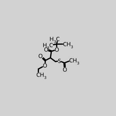 CCOC(=O)C(CSC(C)=O)C(=O)OC(C)(C)C